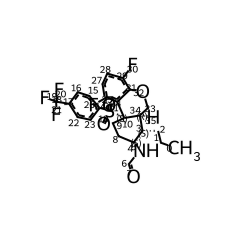 CCC[C@@H]1[C@@H](NC=O)CC[C@@]2(S(=O)(=O)c3ccc(C(F)(F)F)cc3)c3c(F)ccc(F)c3OC[C@@H]12